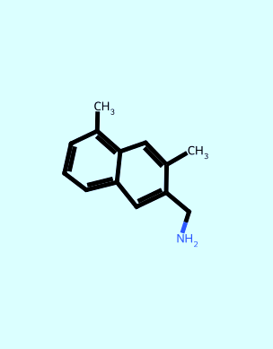 Cc1cc2c(C)cccc2cc1CN